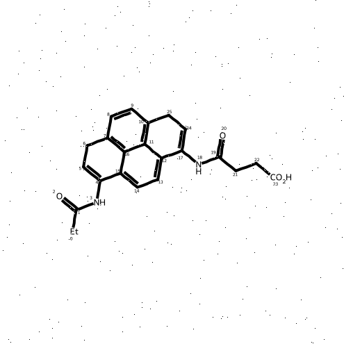 CCC(=O)NC1=CCc2ccc3c4c(ccc1c24)C(NC(=O)CCC(=O)O)=CC3